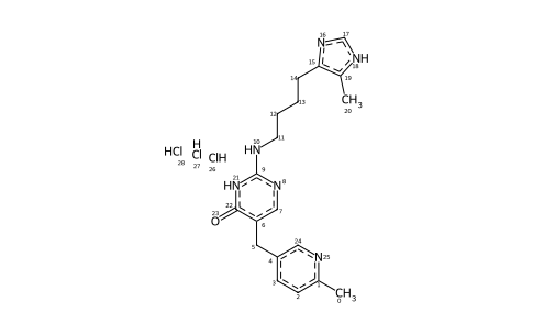 Cc1ccc(Cc2cnc(NCCCCc3nc[nH]c3C)[nH]c2=O)cn1.Cl.Cl.Cl